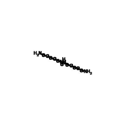 NCCOCCOCCOCCOCCOCCNC(=O)NCCOCCOCCOCCOCCOCCN